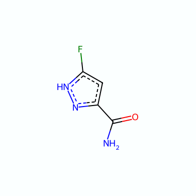 NC(=O)c1cc(F)[nH]n1